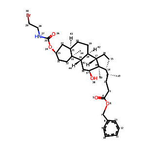 C[C@H](CCC(=O)OCc1ccccc1)[C@H]1CC[C@H]2[C@@H]3CC[C@@H]4C[C@H](OC(=O)NCCBr)CC[C@]4(C)[C@H]3C[C@H](O)[C@]12C